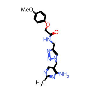 COc1ccc(OCC(=O)NCc2cn(Cc3cnc(C)nc3N)nn2)cc1